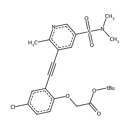 Cc1ncc(S(=O)(=O)N(C)C)cc1C#Cc1cc(Cl)ccc1OCC(=O)OC(C)(C)C